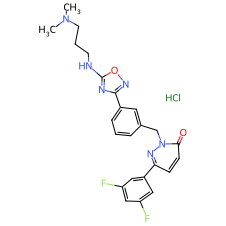 CN(C)CCCNc1nc(-c2cccc(Cn3nc(-c4cc(F)cc(F)c4)ccc3=O)c2)no1.Cl